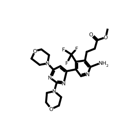 COC(=O)CCc1c(N)ncc(-c2cc(N3CCOCC3)nc(N3CCOCC3)n2)c1C(F)(F)F